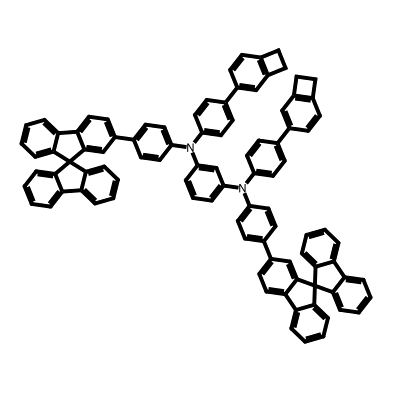 c1cc(N(c2ccc(-c3ccc4c(c3)CC4)cc2)c2ccc(-c3ccc4c(c3)C3(c5ccccc5-c5ccccc53)c3ccccc3-4)cc2)cc(N(c2ccc(-c3ccc4c(c3)CC4)cc2)c2ccc(-c3ccc4c(c3)C3(c5ccccc5-c5ccccc53)c3ccccc3-4)cc2)c1